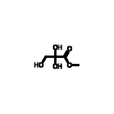 COC(=O)C(O)(O)CO